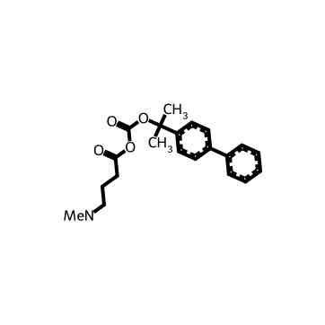 CNCCCC(=O)OC(=O)OC(C)(C)c1ccc(-c2ccccc2)cc1